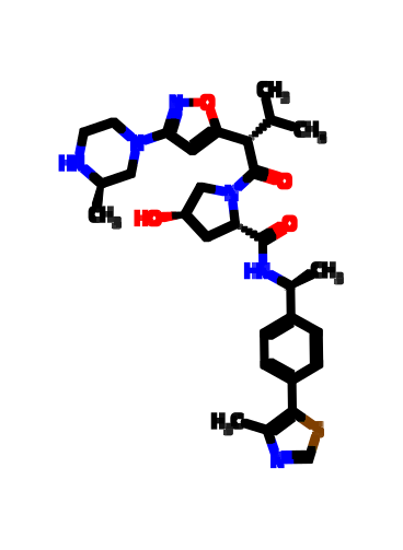 Cc1ncsc1-c1ccc([C@H](C)NC(=O)[C@@H]2C[C@@H](O)CN2C(=O)[C@H](c2cc(N3CCN[C@H](C)C3)no2)C(C)C)cc1